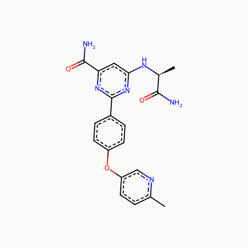 Cc1ccc(Oc2ccc(-c3nc(N[C@@H](C)C(N)=O)cc(C(N)=O)n3)cc2)cn1